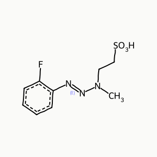 CN(CCS(=O)(=O)O)/N=N/c1ccccc1F